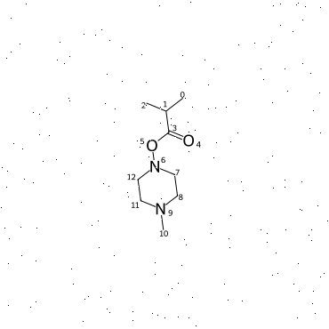 CC(C)C(=O)ON1CCN(C)CC1